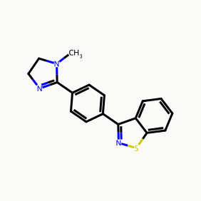 CN1CCN=C1c1ccc(-c2nsc3ccccc23)cc1